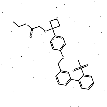 CCOC(=O)COC1(c2ccc(OCc3cccc(-c4ccccc4S(C)(=O)=O)c3)cc2)COC1